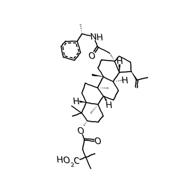 C=C(C)[C@@H]1CC[C@]2(CC(=O)N[C@@H](C)c3ccccc3)CC[C@]3(C)[C@H](CC[C@@H]4[C@@]5(C)CC[C@H](OC(=O)CC(C)(C)C(=O)O)C(C)(C)[C@@H]5CC[C@]43C)[C@@H]12